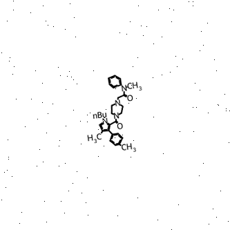 CCCCn1cc(C)c(-c2ccc(C)cc2)c1C(=O)N1CCN(CC(=O)N(C)c2ccccc2)CC1